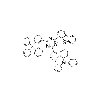 c1ccc(C2(c3ccccc3)c3ccccc3-c3c(-c4nc(-c5ccc(-c6ccccc6-n6c7ccccc7c7ccccc76)cc5)nc(-c5cccc6c5sc5ccccc56)n4)cccc32)cc1